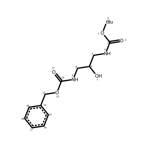 CC(C)(C)OC(=O)NCC(O)CNC(=O)OCc1ccccc1